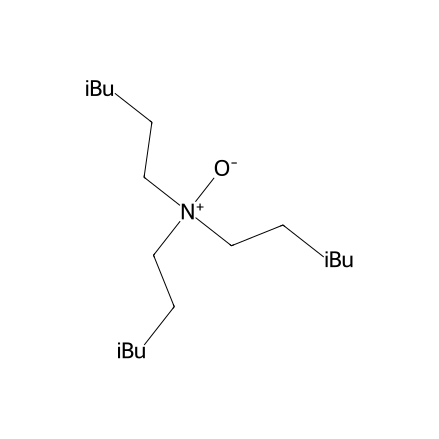 CCC(C)CC[N+]([O-])(CCC(C)CC)CCC(C)CC